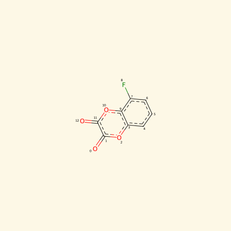 O=c1oc2cccc(F)c2oc1=O